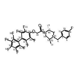 C[C@@H]1CN(Cc2ccc(F)cc2)[C@@H](C)CN1C(=O)COc1c(F)c(F)c(-c2c(F)c(F)c(F)c(F)c2F)c(F)c1F